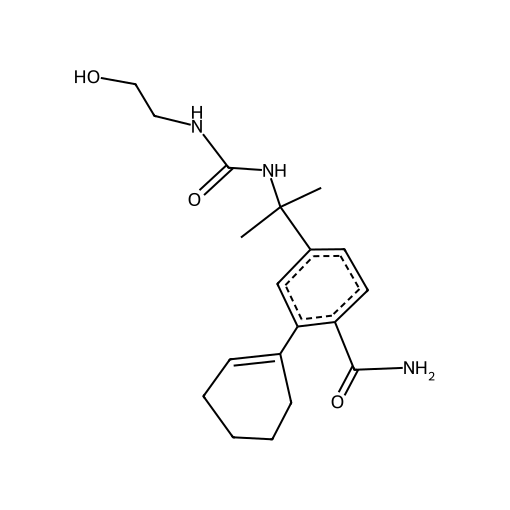 CC(C)(NC(=O)NCCO)c1ccc(C(N)=O)c(C2=CCCCC2)c1